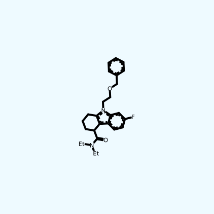 CCN(CC)C(=O)C1CCCc2c1c1ccc(F)cc1n2CCOCc1ccccc1